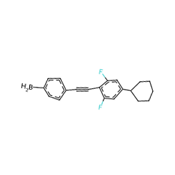 Bc1ccc(C#Cc2c(F)cc(C3CCCCC3)cc2F)cc1